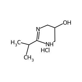 CC(C)C1=NCC(O)CN1.Cl